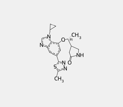 Cc1nnc(-c2cc(O[C@H](C)C3CNC(=O)C3)c3c(c2)ncn3C2CC2)s1